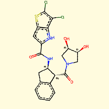 O=C(N[C@@H]1Cc2ccccc2[C@H]1C(=O)N1C[C@@H](O)[C@@H](O)C1)c1cc2sc(Cl)c(Cl)c2[nH]1